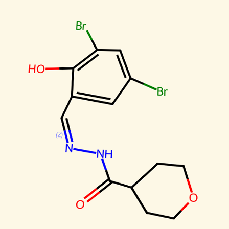 O=C(N/N=C\c1cc(Br)cc(Br)c1O)C1CCOCC1